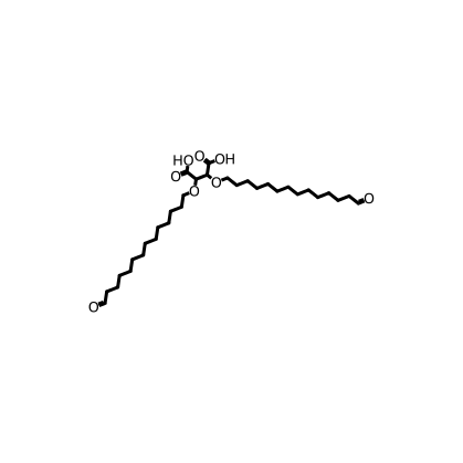 O=CCCCCCCCCCCCCCOC(C(=O)O)C(OCCCCCCCCCCCCCC=O)C(=O)O